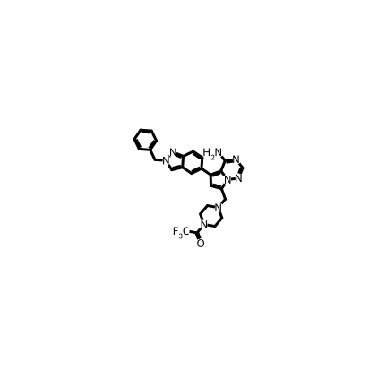 Nc1ncnn2c(CN3CCN(C(=O)C(F)(F)F)CC3)cc(-c3ccc4nn(Cc5ccccc5)cc4c3)c12